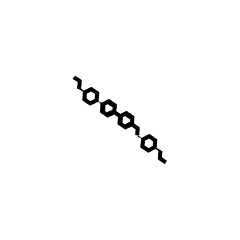 CCC[C@H]1CC[C@H](CCc2ccc(-c3ccc([C@H]4CC[C@H](CCC)CC4)cc3)cc2)CC1